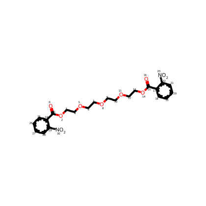 O=C(OCCOCCOCCOCCOC(=O)c1ccccc1[N+](=O)[O-])c1ccccc1[N+](=O)[O-]